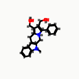 Cn1c2c(c3ccccc31)Cc1c(CO)c(CO)c(-c3ccccc3)n1C2